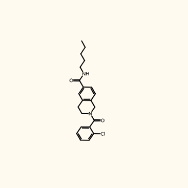 CCCCCNC(=O)c1ccc2c(c1)CCN(C(=O)c1ccccc1Cl)C2